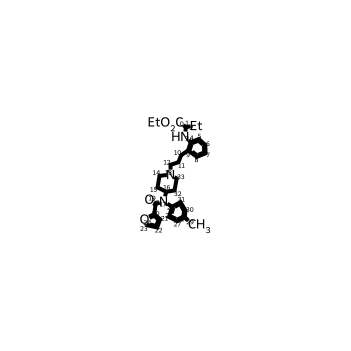 CCOC(=O)C(CC)Nc1ccccc1CCCN1CCC(N(C(=O)c2ccco2)c2ccc(C)cc2)CC1